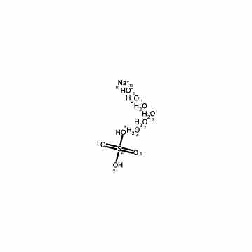 O.O.O.O.O.O=S(=O)(O)O.[Na+].[OH-]